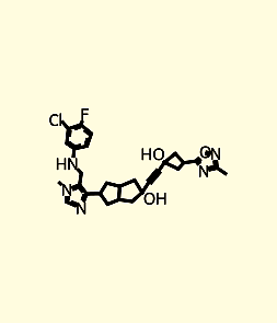 Cc1noc(C2CC(O)(C#CC3(O)CC4CC(c5ncn(C)c5CNc5ccc(F)c(Cl)c5)CC4C3)C2)n1